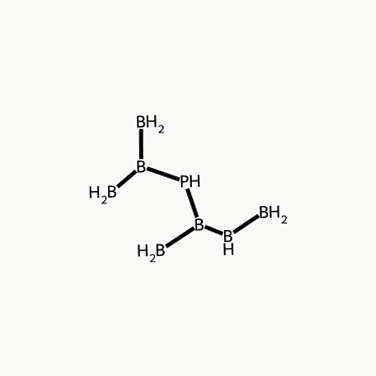 BBB(B)PB(B)B